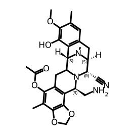 COc1c(C)cc2c(c1O)[C@H]1C3Cc4c(OC(C)=O)c(C)c5c(c4[C@H](CN)N3[C@@H](C#N)[C@H](C2)N1C)OCO5